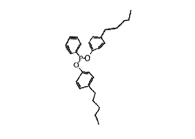 CCCCCc1ccc(OP(Oc2ccc(CCCCC)cc2)c2ccccc2)cc1